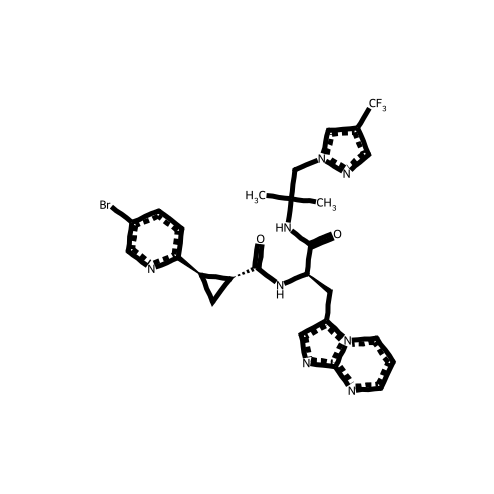 CC(C)(Cn1cc(C(F)(F)F)cn1)NC(=O)[C@@H](Cc1cnc2ncccn12)NC(=O)[C@@H]1C[C@H]1c1ccc(Br)cn1